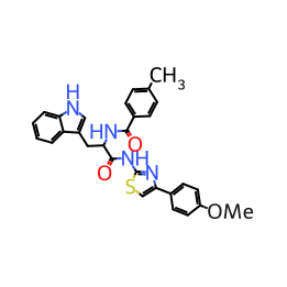 COc1ccc(-c2csc(NC(=O)C(Cc3c[nH]c4ccccc34)NC(=O)c3ccc(C)cc3)n2)cc1